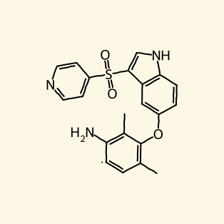 Cc1c[c]c(N)c(C)c1Oc1ccc2[nH]cc(S(=O)(=O)c3ccncc3)c2c1